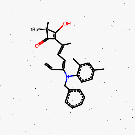 C=C/C(=C\C=C(/C)C1=C(O)[C@](C)(C(C)(C)C)C1=O)N(Cc1ccccc1)c1ccc(C)cc1C